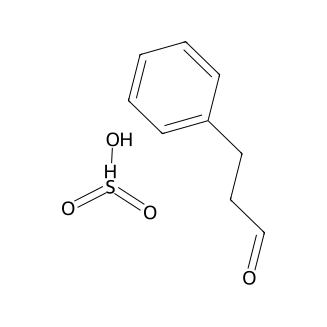 O=CCCc1ccccc1.O=[SH](=O)O